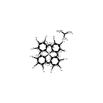 CC(C)[NH3+].Fc1c(F)c(F)c([B-](c2c(F)c(F)c(F)c(F)c2F)(c2c(F)c(F)c(F)c(F)c2F)c2c(F)c(F)c(F)c(F)c2F)c(F)c1F